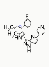 C=C/C=C(/c1cccc(F)c1)c1cc(-c2n[nH]c3ccc(C4=CCN=CC=C4)nc23)[nH]c1C